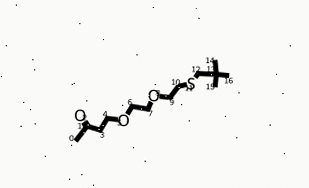 CC(=O)CCOCCOCCSCC(C)(C)C